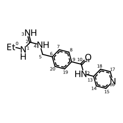 CCNC(=N)NCc1ccc(C(=O)Nc2ccncc2)cc1